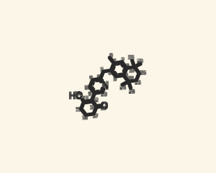 Cc1cc2c(cc1Cc1ccc(C3=C(O)CCCC3=O)cn1)C(C)(C)CCC2(C)C